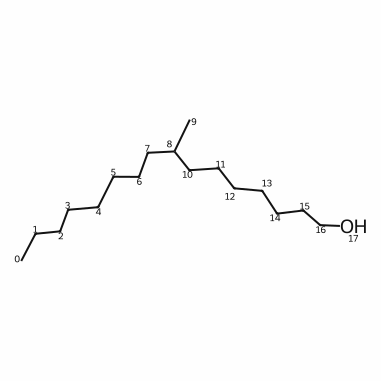 CCCCCCCCC(C)CCCCCCCO